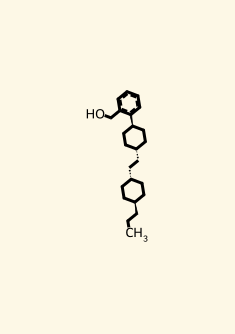 CCC[C@H]1CC[C@H](CC[C@H]2CC[C@H](c3ccccc3CO)CC2)CC1